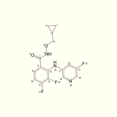 O=C(NOCC1CC1)c1ccc(F)c(F)c1Nc1cncc(F)c1